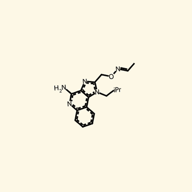 CC=NOCc1nc2c(N)nc3ccccc3c2n1CC(C)C